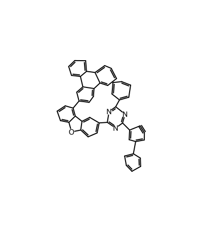 c1cc(-c2ccccc2)cc(-c2nc(-c3ccccc3)nc(-c3ccc4oc5cccc(-c6ccc7c8ccccc8c8ccccc8c7c6)c5c4c3)n2)c#1